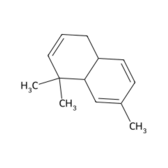 CC1=CC2C(C=C1)CC=CC2(C)C